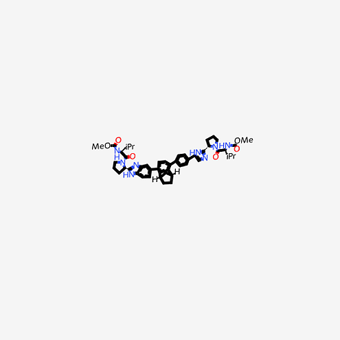 COC(=O)N[C@H](C(=O)N1CCC[C@H]1c1ncc(-c2ccc(-c3ccc(-c4ccc5[nH]c([C@@H]6CCCN6C(=O)[C@@H](NC(=O)OC)C(C)C)nc5c4)c4c3[C@@H]3CC[C@H]4C3)cc2)[nH]1)C(C)C